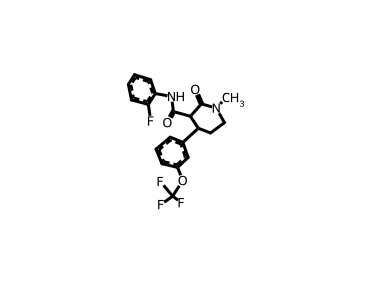 CN1CCC(c2cccc(OC(F)(F)F)c2)C(C(=O)Nc2ccccc2F)C1=O